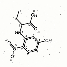 CCC(Nc1cc(O)ccc1[N+](=O)[O-])C(=O)O